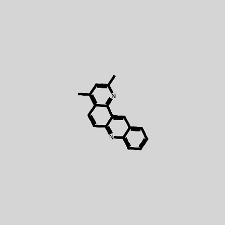 Cc1cc(C)c2ccc3nc4ccccc4cc3c2n1